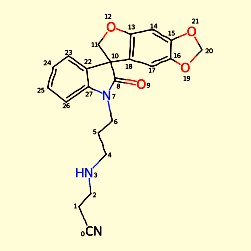 N#CCCNCCCN1C(=O)C2(COc3cc4c(cc32)OCO4)c2ccccc21